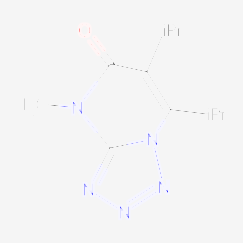 CC(C)c1c(C(C)C)n2nnnc2n(C)c1=O